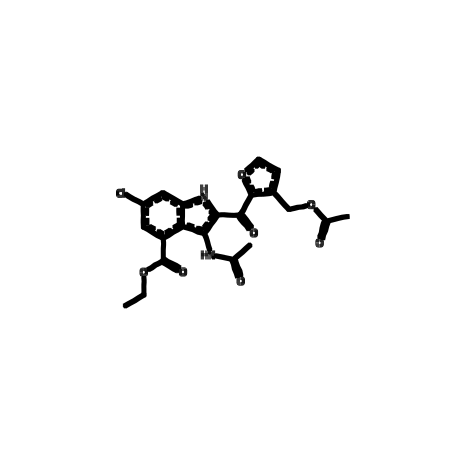 CCOC(=O)c1cc(Cl)cc2[nH]c(C(=O)c3occc3COC(C)=O)c(NC(C)=O)c12